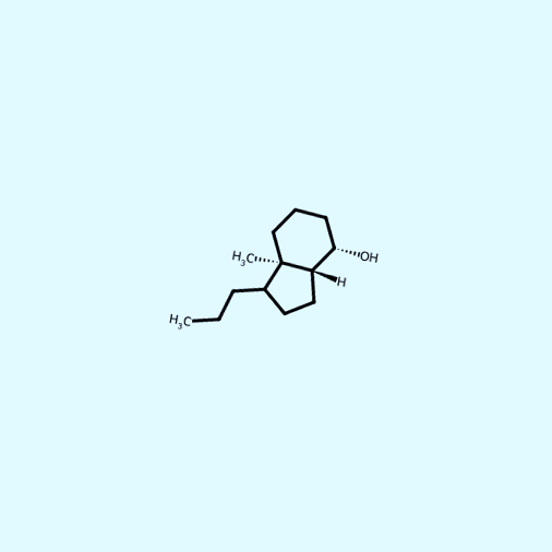 CCCC1CC[C@H]2[C@@H](O)CCC[C@]12C